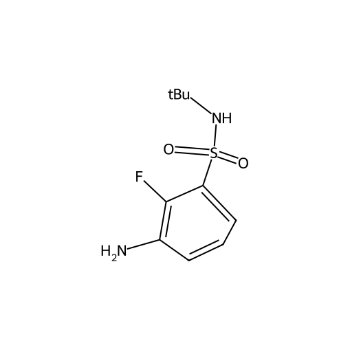 CC(C)(C)NS(=O)(=O)c1cccc(N)c1F